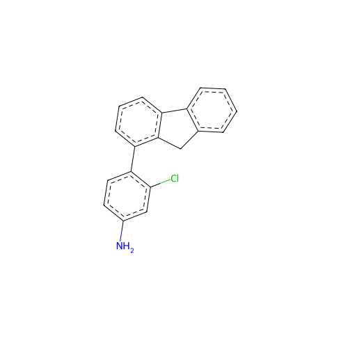 Nc1ccc(-c2cccc3c2Cc2ccccc2-3)c(Cl)c1